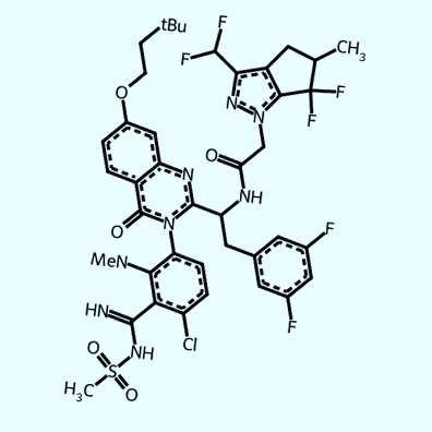 CNc1c(-n2c(C(Cc3cc(F)cc(F)c3)NC(=O)Cn3nc(C(F)F)c4c3C(F)(F)C(C)C4)nc3cc(OCCC(C)(C)C)ccc3c2=O)ccc(Cl)c1C(=N)NS(C)(=O)=O